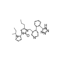 CCCc1cn(-c2cccn2C(C)CC)c(=O)n1Cc1cnccc1-c1ccccc1-c1nnn[nH]1